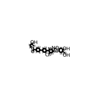 O=C(c1ccc(-c2ccc(-c3nc4nc(OC5CC[C@H](CO)[C@@H](O)C5)[nH]c4cc3Cl)cc2)cc1)N1CC[C@@H](O)C1